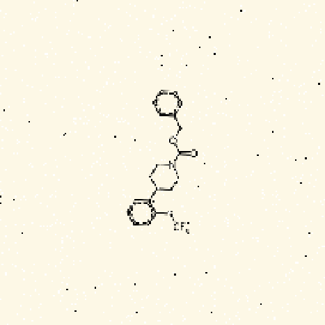 O=C(OCc1ccccc1)N1CCC(c2ccccc2SC(F)(F)F)CC1